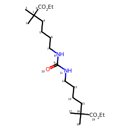 CCOC(=O)C(C)(C)CCCCNC(=O)NCCCCC(C)(C)C(=O)OCC